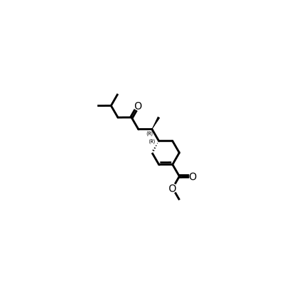 COC(=O)C1=CC[C@H]([C@H](C)CC(=O)CC(C)C)CC1